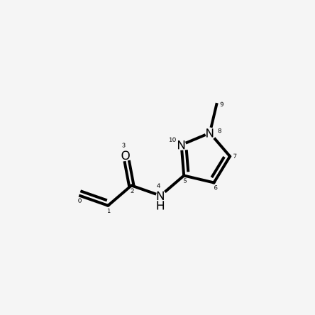 C=CC(=O)Nc1ccn(C)n1